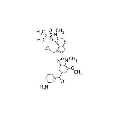 COc1cc(C(=O)N2CCC[C@@H](N)C2)cc2nc(-c3cc4ccc(N(C)S(=O)(=O)C(C)C)nc4n3CC3CC3)n(C)c12